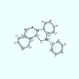 c1ccc(B(Cc2nccc3ccccc23)c2ccccc2)cc1